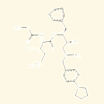 CC[C@H](C)[C@H](NC(=O)OC)C(=O)N[C@@H](Cc1ccccc1)[C@@H](O)CN(N)Cc1ccc(N2CCCC2)cc1.Cl